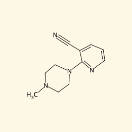 CN1CCN(c2ncccc2C#N)CC1